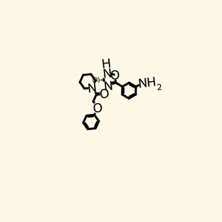 Nc1cccc(C2=NC([C@H]3CCCCN3C(=O)COc3ccccc3)NO2)c1